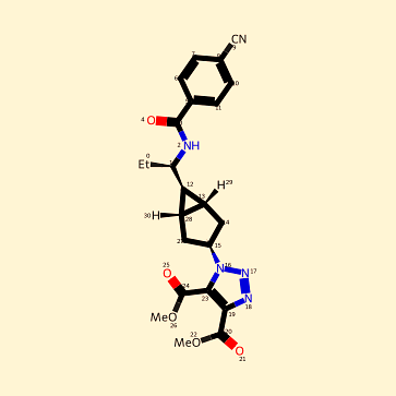 CC[C@@H](NC(=O)c1ccc(C#N)cc1)[C@H]1[C@@H]2C[C@@H](n3nnc(C(=O)OC)c3C(=O)OC)C[C@@H]21